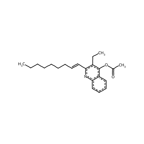 CCCCCCC/C=C/c1nc2ccccc2c(OC(C)=O)c1CC